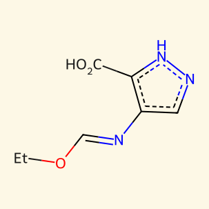 CCO/C=N/c1cn[nH]c1C(=O)O